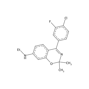 CCNc1ccc2c(c1)OC(C)(C)N=C2c1ccc(Cl)c(F)c1